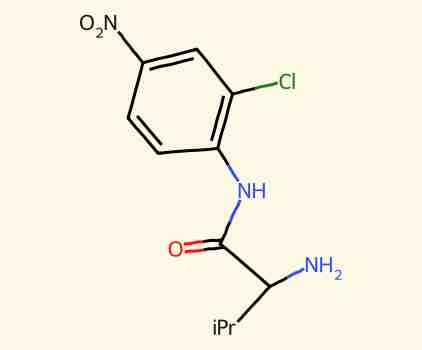 CC(C)C(N)C(=O)Nc1ccc([N+](=O)[O-])cc1Cl